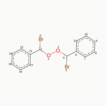 BrC(OOC(Br)c1ccccc1)c1ccccc1